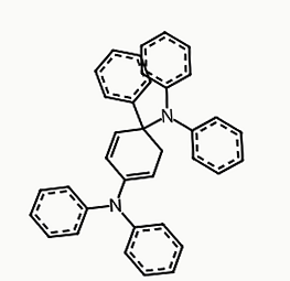 C1=CC(c2ccccc2)(N(c2ccccc2)c2ccccc2)CC=C1N(c1ccccc1)c1ccccc1